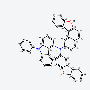 c1ccc(-n2c3ccccc3c3c(N(c4ccc5sc6ccccc6c5c4)c4ccc5ccc6oc7ccccc7c6c5c4)cccc32)cc1